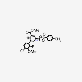 COC(=O)C1=C/C(=N\OS(=O)(=O)c2ccc(C)cc2)CC(c2ccc(Cl)c(OC)c2F)N1